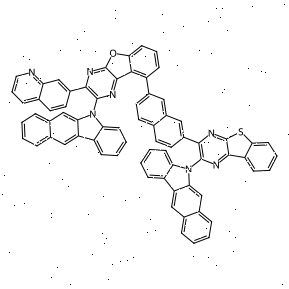 c1ccc2cc3c(cc2c1)c1ccccc1n3-c1nc2c(nc1-c1ccc3ccc(-c4cccc5oc6nc(-c7ccc8cccnc8c7)c(-n7c8ccccc8c8cc9ccccc9cc87)nc6c45)cc3c1)sc1ccccc12